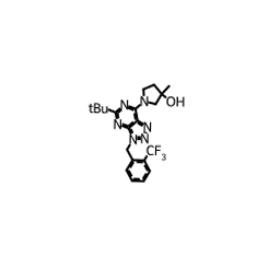 CC1(O)CCN(c2nc(C(C)(C)C)nc3c2nnn3Cc2ccccc2C(F)(F)F)C1